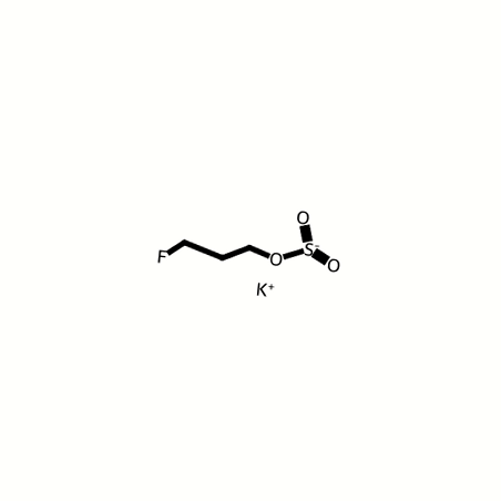 O=[S-](=O)OCCCF.[K+]